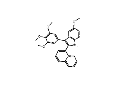 COc1ccc2[nH]c(-c3cccc4ccccc34)c(-c3cc(OC)c(OC)c(OC)c3)c2c1